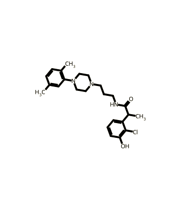 Cc1ccc(C)c(N2CCN(CCCNC(=O)C(C)c3cccc(O)c3Cl)CC2)c1